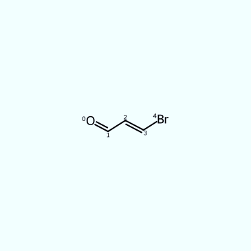 O=C/C=C/Br